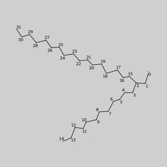 [CH2]CC(CCCCCCCCCCCC)CCCCCCCCCCCCCCCCC